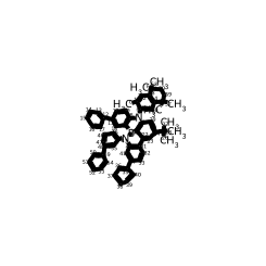 Cc1cc2c(cc1N1c3ccc(-c4ccccc4)cc3B3c4c(cc(C(C)(C)C)cc41)-c1ccc(-c4ccccc4)cc1N3c1cccc(-c3ccccc3)c1)C(C)(C)CCC2(C)C